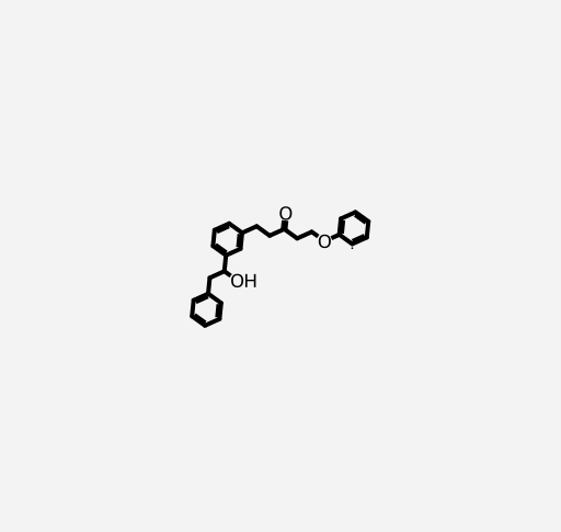 O=C(CCOc1[c]cccc1)CCc1cccc(C(O)Cc2ccccc2)c1